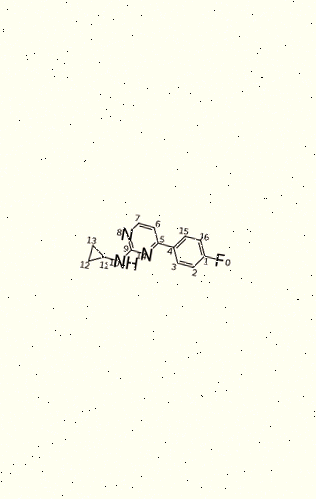 Fc1ccc(-c2ccnc(NC3CC3)n2)cc1